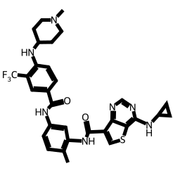 Cc1ccc(NC(=O)c2ccc(NC3CCN(C)CC3)c(C(F)(F)F)c2)cc1NC(=O)c1csc2c(NC3CC3)ncnc12